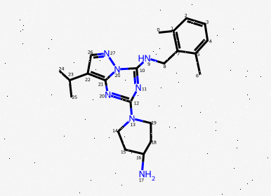 Cc1cccc(C)c1CNc1nc(N2CCC(N)CC2)nc2c(C(C)C)cnn12